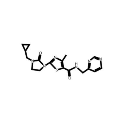 Cc1nc(N2CCN(CC3CC3)C2=O)sc1C(=O)NCc1ccncn1